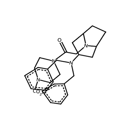 O=C(O)N1CCN(C(=O)CN2C3CCC2CC(N(Cc2ccccc2)Cc2ccccc2)C3)CC1